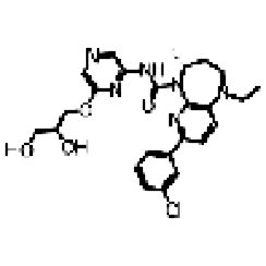 CCN1CC[C@@H](C)N(C(=O)Nc2cncc(OCC(O)CO)n2)c2nc(-c3cccc(Cl)c3)ccc21